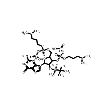 CN(C)CCCOP(=O)(OCC1OC(n2cnc3c(=O)[nH]c(N)nc32)C(O[Si](C)(C)C(C)(C)C)C1OP(=O)(OCCCN(C)C)O[PH](=O)O)O[PH](=O)O